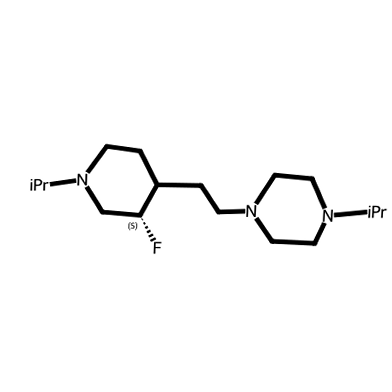 CC(C)N1CCN(CCC2CCN(C(C)C)C[C@H]2F)CC1